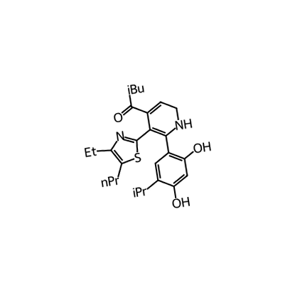 CCCc1sc(C2=C(c3cc(C(C)C)c(O)cc3O)NCC=C2C(=O)C(C)CC)nc1CC